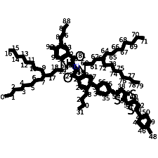 CCCCCCCCC(CCCCCCCC)CCCN1/C(=C2\C(=O)c3cc(CCCC)c(-c4ccc(-c5cc6sc7cc(-c8ccc(C)cc8)sc7c6s5)cc4)cc3N2CCCC(CCCCCCCC)CCCCCCCC)C(=O)c2cc(CCCC)c(C)cc21